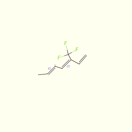 C=C/C(=C/[C]=C/C)C(F)(F)F